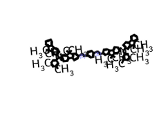 Cc1cc(C)cc(N(c2ccc3c(c2)C(C)(C)c2ccccc2-3)c2ccc3c(c2)C(C)(C)c2cc(/C=C/c4ccc(/C=C/c5ccc6c(c5)C(C)(C)c5cc(N(c7cc(C)cc(C)c7)c7ccc8c(c7)C(C)(C)c7ccccc7-8)ccc5-6)cc4)ccc2-3)c1